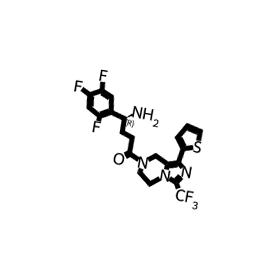 N[C@H](CCC(=O)N1CCn2c(C(F)(F)F)nc(-c3cccs3)c2C1)c1cc(F)c(F)cc1F